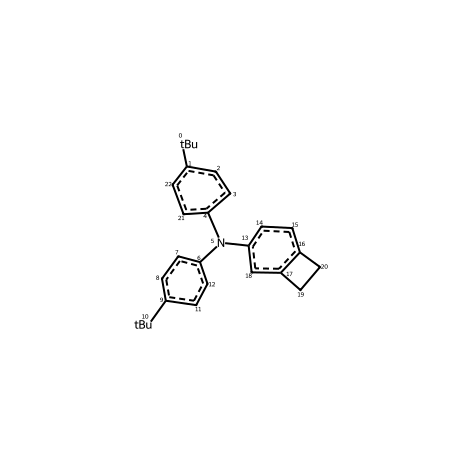 CC(C)(C)c1ccc(N(c2ccc(C(C)(C)C)cc2)c2ccc3c(c2)CC3)cc1